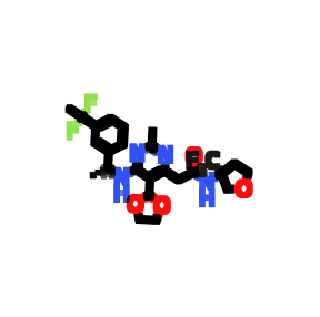 Cc1nc(CC(=O)NC2(C(F)(F)F)CCOC2)c(C2OCCO2)c(N[C@H](C)c2cccc(C(C)(F)F)c2)n1